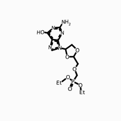 CCOP(=O)(COCC1OCC(n2cnc3c(O)nc(N)nc32)O1)OCC